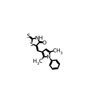 Cc1cc(C=C2SC(=S)NC2=O)c(C)n1-c1ccccc1